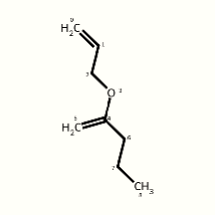 C=CCOC(=C)CCC